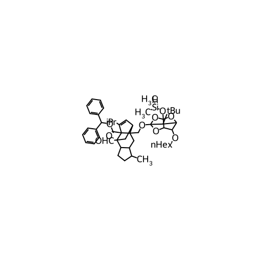 CCCCCCOC1C2OC3(O[SiH](C)C)OC(OCC45CC6C(C)CCC6C6(C=O)CC4C=C(C(C)C)C65C(=O)OC(c4ccccc4)c4ccccc4)(OC13)C2C(C)(C)C